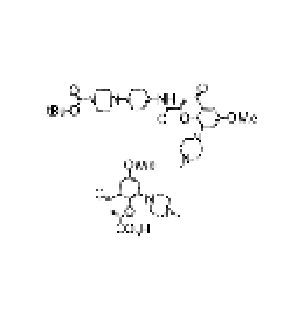 COc1cc(N2CCN(C)CC2)c2oc(C(=O)Nc3ccc(N4CCN(C(=O)OC(C)(C)C)CC4)cc3)cc(=O)c2c1.COc1cc(N2CCN(C)CC2)c2oc(C(=O)O)cc(=O)c2c1